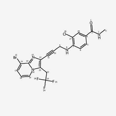 CNC(=O)c1ccc(NCC#Cc2nc3c(Br)cccn3c2CC(F)(F)F)c(Cl)c1